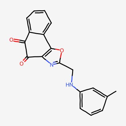 Cc1cccc(NCc2nc3c(o2)-c2ccccc2C(=O)C3=O)c1